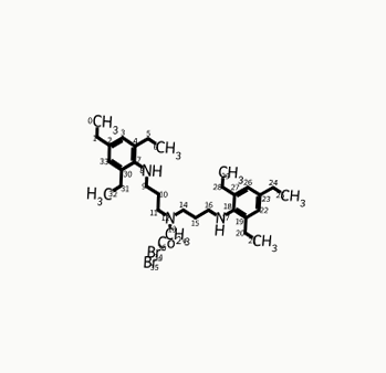 CCc1cc(CC)c(NCCCN(C)CCCNc2c(CC)cc(CC)cc2CC)c(CC)c1.[Br-].[Br-].[Co+2]